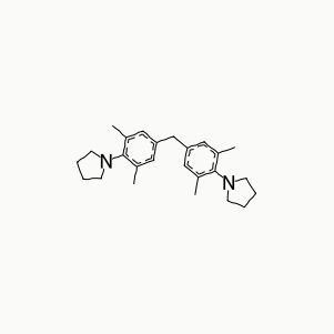 Cc1cc(Cc2cc(C)c(N3CCCC3)c(C)c2)cc(C)c1N1CCCC1